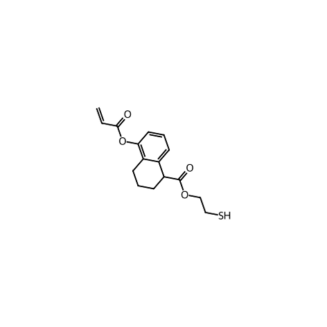 C=CC(=O)Oc1cccc2c1CCCC2C(=O)OCCS